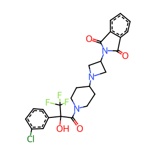 O=C1c2ccccc2C(=O)N1C1CN(C2CCN(C(=O)C(O)(c3cccc(Cl)c3)C(F)(F)F)CC2)C1